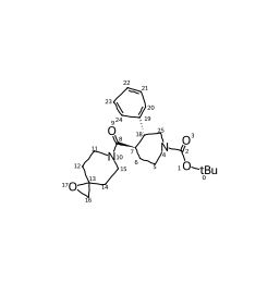 CC(C)(C)OC(=O)N1CC[C@@H](C(=O)N2CCC3(CC2)CO3)[C@H](c2ccccc2)C1